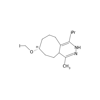 CC1=NNC(C(C)C)=C2CCC[C@@H](OCI)CCC12